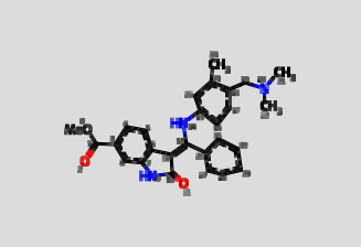 COC(=O)c1ccc2c(c1)NC(=O)C2=C(Nc1ccc(CN(C)C)c(C)c1)c1ccccc1